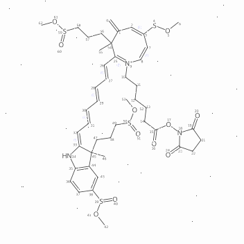 C=C1\C=C(SOC)/C=C\[N+](CCCCCC(=O)ON2C(=O)CCC2=O)=C(\C=C\C=C\C=C\C=C2\Nc3ccc(S(=O)OC)cc3C2(C)CCCS(=O)OC)C1(C)CCCS(=O)OC